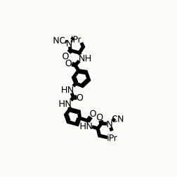 CC(C)CC(NC(=O)c1cccc(NC(=O)Nc2cccc(C(=O)NC(CC(C)C)C(=O)N(C)C#N)c2)c1)C(=O)N(C)C#N